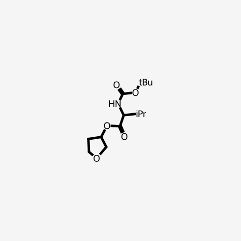 CC(C)C(NC(=O)OC(C)(C)C)C(=O)OC1CCOC1